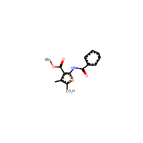 Cc1c(C(=O)O)sc(NC(=O)c2ccccc2)c1C(=O)OC(C)(C)C